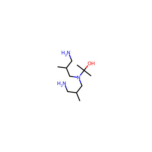 CC(CN)CN(CC(C)CN)C(C)(C)O